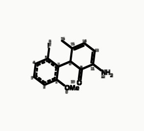 COc1cccc(F)c1C1C(=O)C(N)=CC=C1C